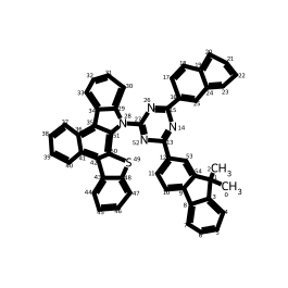 CC1(C)c2ccccc2-c2ccc(-c3nc(-c4ccc5ccccc5c4)nc(-n4c5ccccc5c5c6ccccc6c6c7ccccc7sc6c54)n3)cc21